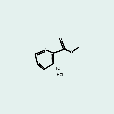 COC(=O)c1ccccn1.Cl.Cl